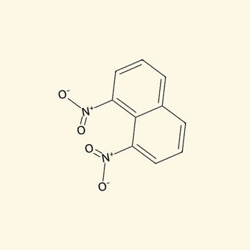 O=[N+]([O-])c1cccc2cccc([N+](=O)[O-])c12